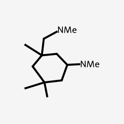 CNCC1(C)CC(NC)CC(C)(C)C1